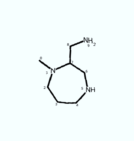 CN1CCCNCC1CN